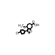 COC1CCC(C(=O)O)Cc2onc(-c3ccc(Cl)cc3)c21